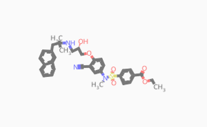 CCOC(=O)c1ccc(S(=O)(=O)N(C)c2ccc(OC[C@@H](O)CNC(C)(C)Cc3ccc4ccccc4c3)c(C#N)c2)cc1